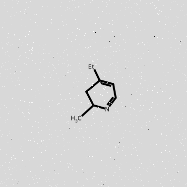 CCC1=CC=NC(C)C1